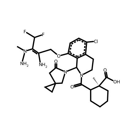 CN(N)/C(=C(\N)COc1ccc(Cl)c2c1C(N1CC3(CC3)CC1=O)N(C(=O)C1CCCC[C@]1(C)C(=O)O)CC2)C(F)F